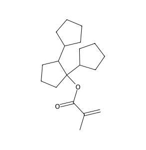 C=C(C)C(=O)OC1(C2CCCC2)CCCC1C1CCCC1